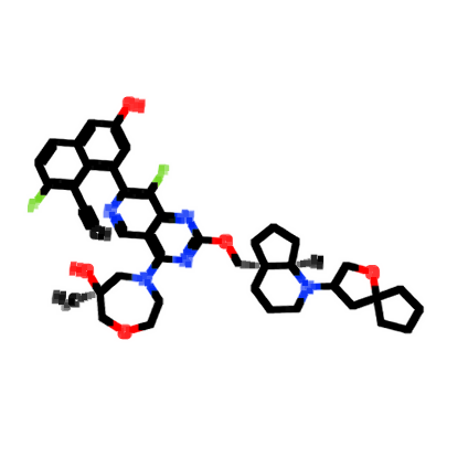 C#Cc1c(F)ccc2cc(O)cc(-c3ncc4c(N5CCOC[C@@](C)(O)C5)nc(OC[C@]56CCC[C@H]5N(C5COC7(CCCC7)C5)CCC6)nc4c3F)c12